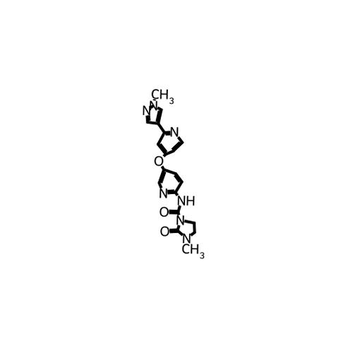 CN1CCN(C(=O)Nc2ccc(Oc3ccnc(-c4cnn(C)c4)c3)cn2)C1=O